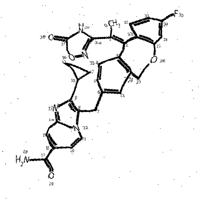 CC(=C1c2ccc(Cc3c(C4CC4)nc4cc(C(N)=O)ccn34)cc2COc2cc(F)ccc21)c1noc(=O)[nH]1